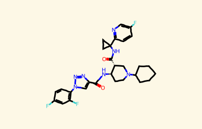 O=C(N[C@@H]1CCN(C2CCCCC2)C[C@H]1C(=O)NC1(c2ccc(F)cn2)CC1)c1cn(-c2ccc(F)cc2F)nn1